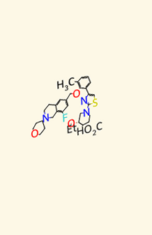 CCO[C@@H]1CN(c2nc(-c3cccc(C)c3OCc3cc(F)c4c(c3)CCN(C3CCOCC3)C4)cs2)CC[C@@H]1C(=O)O